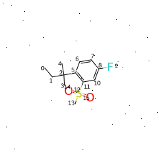 CCC(C)(C)c1ccc(F)cc1S(C)(=O)=O